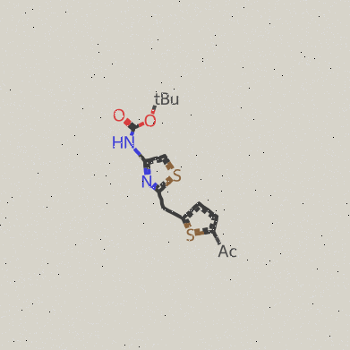 CC(=O)c1ccc(Cc2nc(NC(=O)OC(C)(C)C)cs2)s1